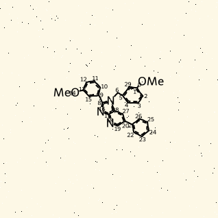 COc1cccc(Cn2c(-c3cccc(OC)c3)nc3ncc(-c4ccccc4)cc32)c1